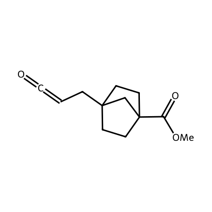 COC(=O)C12CCC(CC=C=O)(CC1)C2